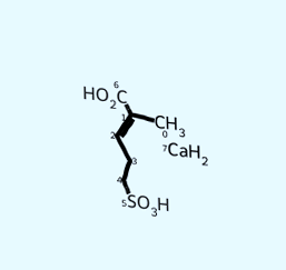 CC(=CCCS(=O)(=O)O)C(=O)O.[CaH2]